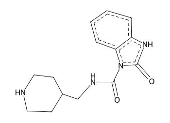 O=C(NCC1CCNCC1)n1c(=O)[nH]c2ccccc21